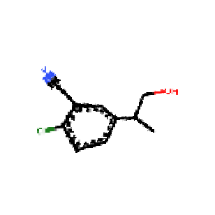 C[C](CO)c1ccc(Cl)c(C#N)c1